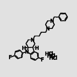 Cl.Cl.Cl.Fc1ccc(N2c3ccc(F)cc3[C@@H]3CN(CCCCN4CCN(Cc5ccccc5)CC4)CC[C@H]32)cc1